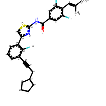 C/C(=C\c1c(F)cc(C(=O)Nc2nc(-c3cccc(C#CCC4CCCC4)c3F)cs2)cc1F)C(=O)O